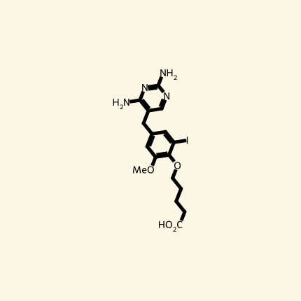 COc1cc(Cc2cnc(N)nc2N)cc(I)c1OCCCCC(=O)O